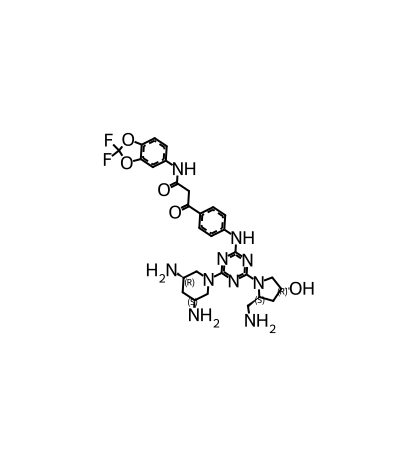 NC[C@@H]1C[C@@H](O)CN1c1nc(Nc2ccc(C(=O)CC(=O)Nc3ccc4c(c3)OC(F)(F)O4)cc2)nc(N2C[C@H](N)C[C@H](N)C2)n1